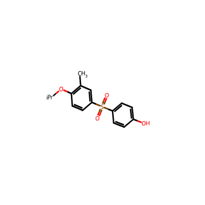 Cc1cc(S(=O)(=O)c2ccc(O)cc2)ccc1OC(C)C